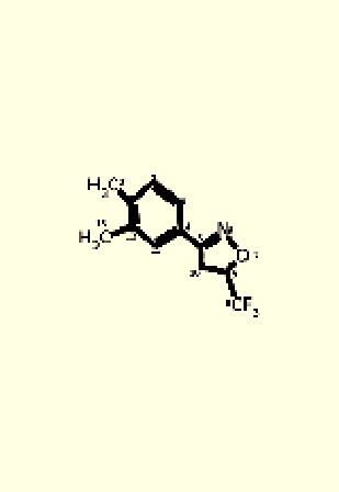 Cc1ccc(C2=NOC(C(F)(F)F)C2)cc1C